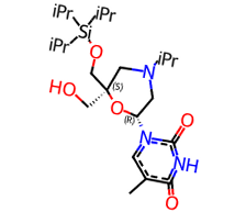 Cc1cn([C@H]2CN(C(C)C)C[C@](CO)(CO[Si](C(C)C)(C(C)C)C(C)C)O2)c(=O)[nH]c1=O